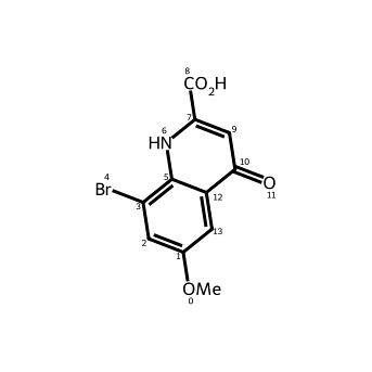 COc1cc(Br)c2[nH]c(C(=O)O)cc(=O)c2c1